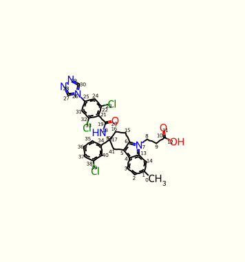 Cc1ccc2c3c(n(CCC(=O)O)c2c1)CC[C@](NC(=O)c1c(Cl)cc(-n2cnnc2)cc1Cl)(c1cccc(Cl)c1)C3